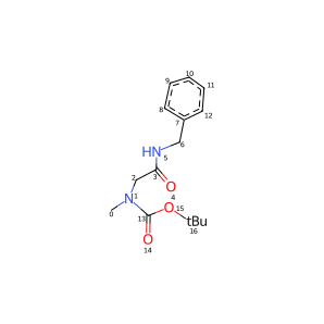 CN(CC(=O)NCc1ccccc1)C(=O)OC(C)(C)C